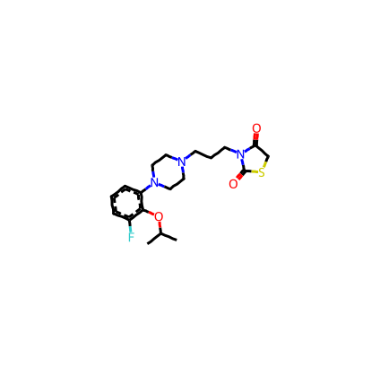 CC(C)Oc1c(F)cccc1N1CCN(CCCN2C(=O)CSC2=O)CC1